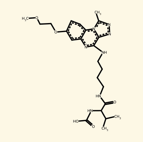 COCCOc1ccc2c(c1)nc(NCCCCNC(=O)C(NC(=O)O)C(C)C)c1nnc(C)n12